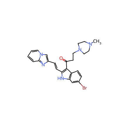 CN1CCN(CCC(=O)c2c(C=Cc3cn4ccccc4n3)[nH]c3cc(Br)ccc23)CC1